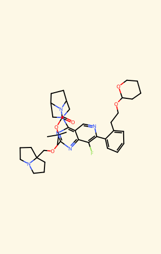 CC(C)(C)OC(=O)N1C2CCC1CN(c1nc(OCC34CCCN3CCC4)nc3c(F)c(-c4ccccc4CCOC4CCCCO4)ncc13)C2